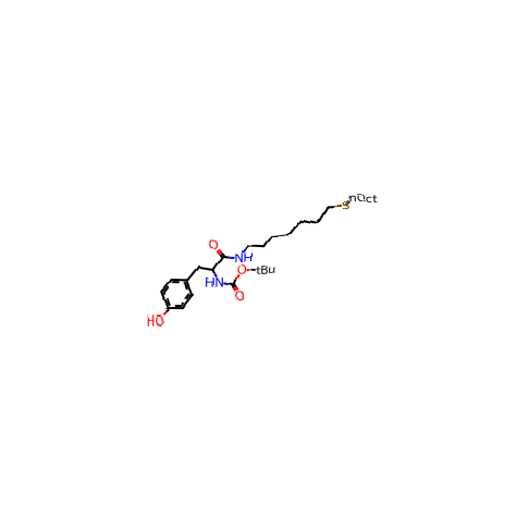 CCCCCCCCSCCCCCCCNC(=O)C(Cc1ccc(O)cc1)NC(=O)OC(C)(C)C